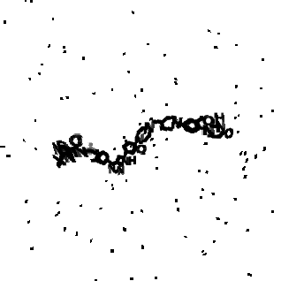 COc1cc(-c2cc3c(-c4ccc([C@@H](C)NC(=O)c5nc(C(C)(C)C)no5)c(C)c4)ncnc3[nH]2)ccc1N1CCN(CC2CCN(c3ccc(N4CCC(=O)NC4=O)c(C)c3)CC2)CC1